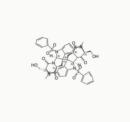 CN1C(=O)[C@@]23C[C@]4([C@]56C[C@@]78SS[C@@](CO)(C(=O)N7[C@H]5N(S(=O)(=O)c5ccccc5)c5ccccc56)N(C)C8=O)c5ccccc5N(S(=O)(=O)c5ccccc5)[C@@H]4C2C(=O)[C@]1(CO)SS3